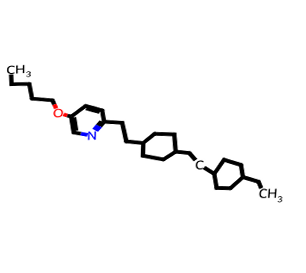 CCCCCOc1ccc(CCC2CCC(CCC3CCC(CC)CC3)CC2)nc1